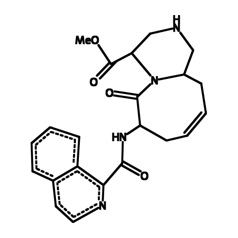 COC(=O)C1CNCC2CC=CCC(NC(=O)c3nccc4ccccc34)C(=O)N21